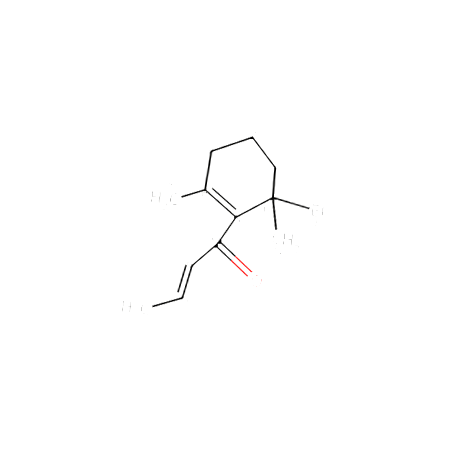 C/C=C/C(=O)C1=C(C)CCCC1(C)CC